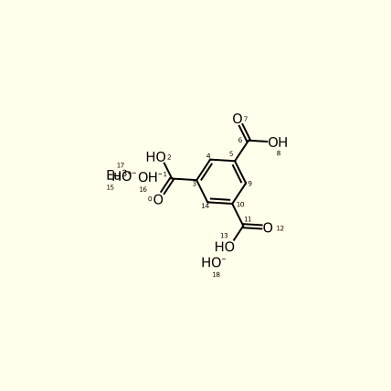 O=C(O)c1cc(C(=O)O)cc(C(=O)O)c1.[Eu+3].[OH-].[OH-].[OH-]